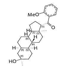 COc1ccccc1C(=O)[C@H]1CC[C@H]2[C@@H]3CC[C@@H]4C[C@](C)(O)CC[C@@H]4[C@H]3CC[C@]12C